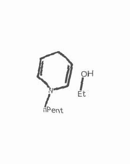 CCCCCN1C=CCC=C1.CCO